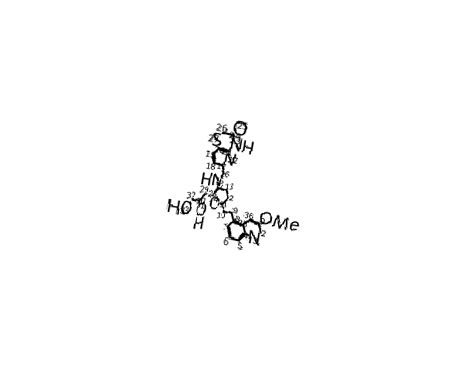 COc1cnc2cccc(CC[C@@H]3CC[C@@H](NCc4ccc5c(n4)NC(=O)CS5)[C@@H](C[C@H](O)CO)O3)c2c1